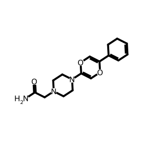 NC(=O)CN1CCN(C2=COC(C3=CC=CCC3)=CO2)CC1